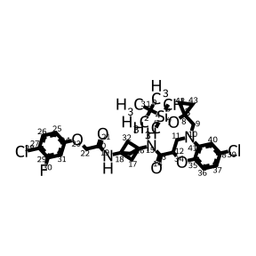 CC(C)(C)[Si](C)(C)OC1(CN2CC(C(=O)NC34CC(NC(=O)COc5ccc(Cl)c(F)c5)(C3)C4)Oc3ccc(Cl)cc32)CC1